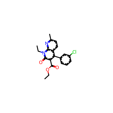 CCOC(=O)c1c(-c2cccc(Cl)c2)c2ccc(C)nc2n(CC)c1=O